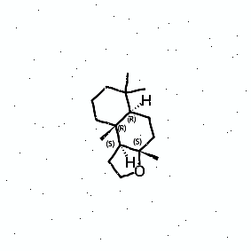 CC1(C)CCC[C@]2(C)[C@@H]1CC[C@]1(C)OCC[C@@H]21